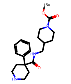 CC(C)(C)OC(=O)N1CCC(CNC(=O)C2(c3ccccc3)CCNCC2)CC1